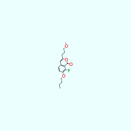 CCCCOc1ccc2cc(CCCOC)oc(=O)c2c1F